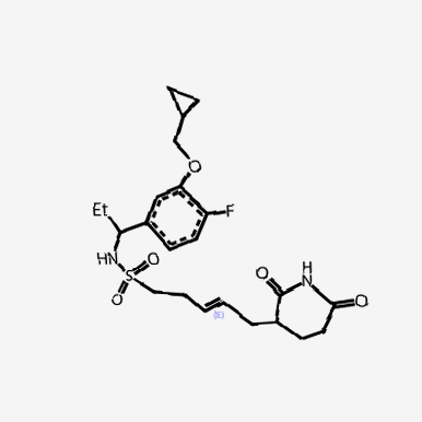 CCC(NS(=O)(=O)CC/C=C/CC1CCC(=O)NC1=O)c1ccc(F)c(OCC2CC2)c1